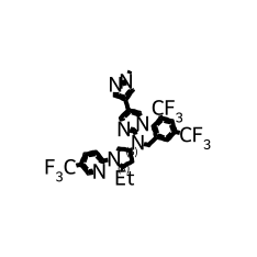 CC[C@@H]1C[C@H](N(Cc2cc(C(F)(F)F)cc(C(F)(F)F)c2)c2ncc(-c3cnn(C)c3)cn2)CN1c1ccc(C(F)(F)F)cn1